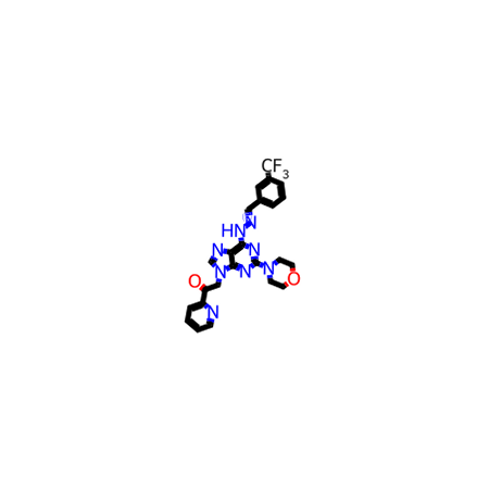 O=C(Cn1cnc2c(N/N=C/c3cccc(C(F)(F)F)c3)nc(N3CCOCC3)nc21)c1ccccn1